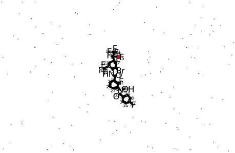 O=C(Nc1c(Br)cc(C(F)(C(F)(F)F)C(F)(F)F)cc1C(F)(F)F)c1cccc(N(O)C(=O)c2ccc(F)cc2)c1F